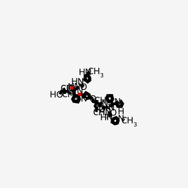 CCCC(C)(COc1ccc(C2=NC(NC(=O)Nc3cccc(NC)c3)C(=O)N(CC(=O)C(C)(C)CO)c3ccccc32)nc1)C(=O)CN1C(=O)C(NC(=O)Nc2cccc(NC)c2)N=C(c2ccccn2)c2ccccc21